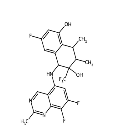 Cc1ncc2c(NC3c4cc(F)cc(O)c4C(C)C(C)C3(O)C(F)(F)F)cc(F)c(F)c2n1